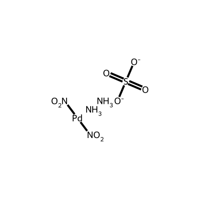 N.N.O=S(=O)([O-])[O-].O=[N+]([O-])[Pd][N+](=O)[O-]